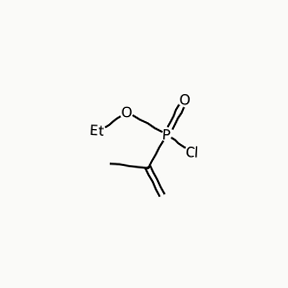 C=C(C)P(=O)(Cl)OCC